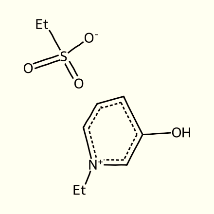 CCS(=O)(=O)[O-].CC[n+]1cccc(O)c1